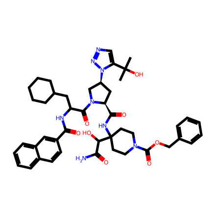 CC(C)(O)c1cnnn1[C@H]1C[C@@H](C(=O)NC2(C(O)C(N)=O)CCN(C(=O)OCc3ccccc3)CC2)N(C(=O)C(CC2CCCCC2)NC(=O)c2ccc3ccccc3c2)C1